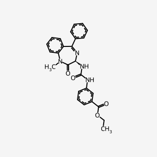 CCOC(=O)c1cccc(NC(=O)N[C@@H]2N=C(c3ccccc3)c3ccccc3N(C)C2=O)c1